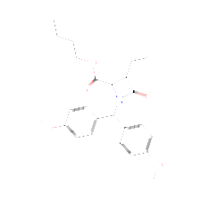 CCCCOC(=O)C1C(CC)C(=O)N1C(c1ccc(OC)cc1)c1ccc(OC)cc1